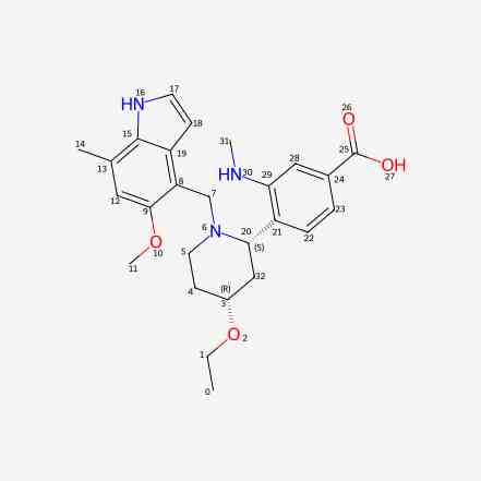 CCO[C@@H]1CCN(Cc2c(OC)cc(C)c3[nH]ccc23)[C@H](c2ccc(C(=O)O)cc2NC)C1